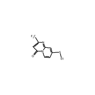 CCSc1ccn2c(=O)cc(C(F)(F)F)nc2c1